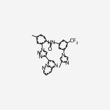 Cc1ccc(C(=O)Nc2cc(-n3cnc(C)c3)cc(C(F)(F)F)c2)c(-n2cc(-c3cnc4cccnn34)nn2)c1